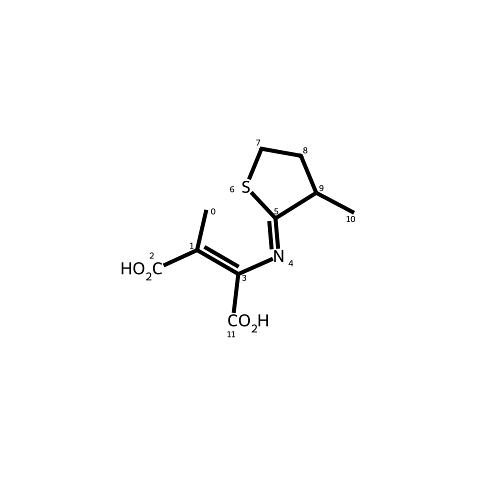 CC(C(=O)O)=C(N=C1SCCC1C)C(=O)O